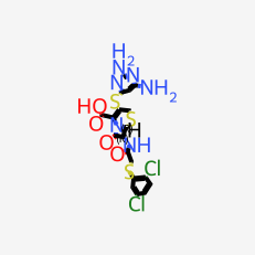 Nc1cc(SC2=C(C(=O)O)N3C(=O)[C@@H](NC(=O)CSc4cc(Cl)ccc4Cl)[C@H]3SC2)nc(N)n1